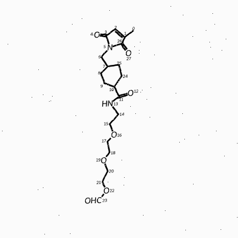 CC1=CC(=O)N(CC2CCC(C(=O)NCCOCCOCCOC=O)CC2)C1=O